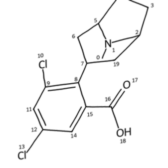 CN1C2CCC1CC(c1c(Cl)cc(Cl)cc1C(=O)O)C2